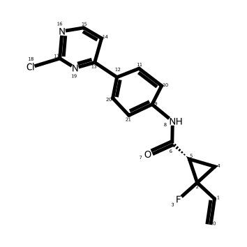 C=CC1(F)C[C@H]1C(=O)Nc1ccc(-c2ccnc(Cl)n2)cc1